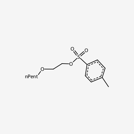 CCCCCOCCOS(=O)(=O)c1ccc(C)cc1